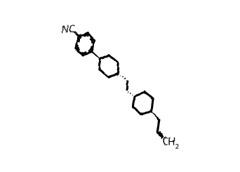 C=CC[C@H]1CC[C@H](CC[C@H]2CC[C@H](c3ccc(C#N)cc3)CC2)CC1